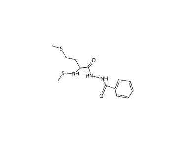 CSCCC(NSC)C(=O)NNC(=O)c1ccccc1